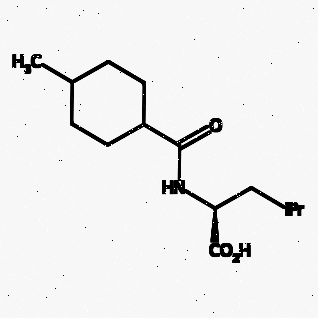 CC(C)C[C@H](NC(=O)C1CCC(C)CC1)C(=O)O